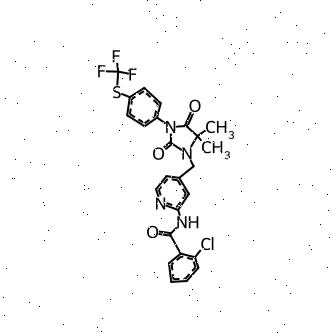 CC1(C)C(=O)N(c2ccc(SC(F)(F)F)cc2)C(=O)N1Cc1ccnc(NC(=O)c2ccccc2Cl)c1